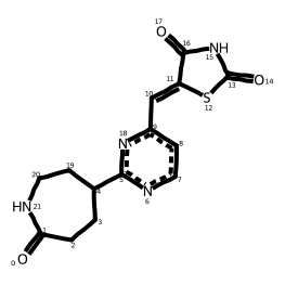 O=C1CCC(c2nccc(/C=C3\SC(=O)NC3=O)n2)CCN1